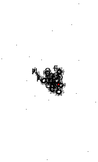 CN(C)CCCN(C)c1ccc(C(=O)Nc2nn(C(c3ccccc3)(c3ccccc3)c3ccccc3)c3ccc(S(=O)(=O)c4cccc(F)c4)cc23)c(N(C(=O)C(F)(F)F)C2CCOCC2)c1